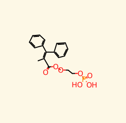 CC(C(=O)OOCCOP(=O)(O)O)=C(c1ccccc1)c1ccccc1